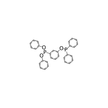 c1ccc(OP(Oc2ccccc2)c2cccc(OP(c3ccccc3)c3ccccc3)c2)cc1